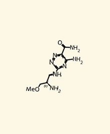 COC[C@H](N)CNc1nnc(C(N)=O)c(N)n1